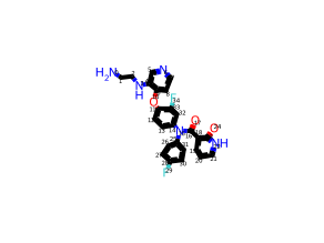 NCCNc1cnccc1Oc1ccc(N(C(=O)c2ccc[nH]c2=O)c2ccc(F)cc2)cc1F